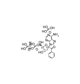 Nc1ncnc2c1ncn2[C@@]1(C(=O)c2ccccc2)C[C@H](O)[C@@H](CO)O1.O=P(O)(O)O.O=P(O)(O)O.O=P(O)(O)O